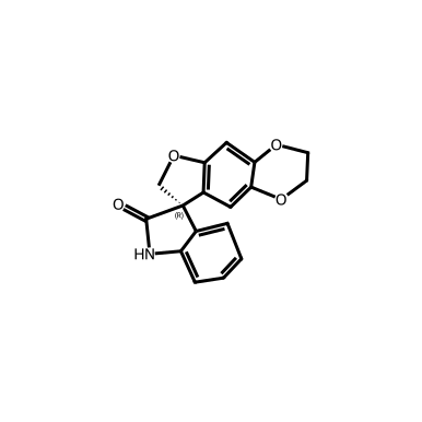 O=C1Nc2ccccc2[C@@]12COc1cc3c(cc12)OCCO3